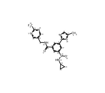 Cc1cnc(-c2cc(C(=O)NCc3cnc(C(F)(F)F)nc3)cc([S+]([O-])NC3CC3)c2)s1